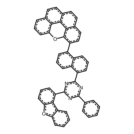 c1ccc(-c2nc(-c3cccc4c(-c5ccc6ccc7ccc8cccc9c8c7c6c5O9)cccc34)nc(-c3cccc4oc5ccccc5c34)n2)cc1